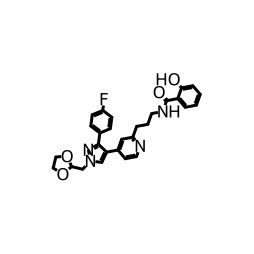 O=C(NCCCc1cc(-c2cn(CC3OCCO3)nc2-c2ccc(F)cc2)ccn1)c1ccccc1O